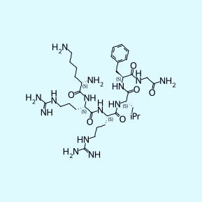 CC(C)C[C@H](NC(=O)[C@H](CCCNC(=N)N)NC(=O)[C@H](CCCNC(=N)N)NC(=O)[C@@H](N)CCCCN)C(=O)N[C@@H](Cc1ccccc1)C(=O)NCC(N)=O